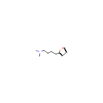 CN(C)CCCCc1ccco1